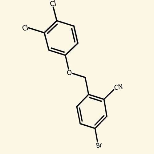 N#Cc1cc(Br)ccc1COc1ccc(Cl)c(Cl)c1